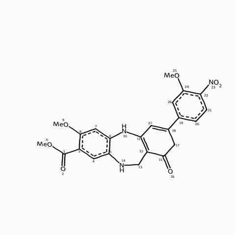 COC(=O)c1cc2c(cc1OC)NC1=C(CN2)C(=O)CC(c2ccc([N+](=O)[O-])c(OC)c2)=C1